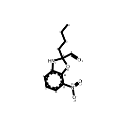 CCCCC1(C=O)Nc2cccc([N+](=O)[O-])c2O1